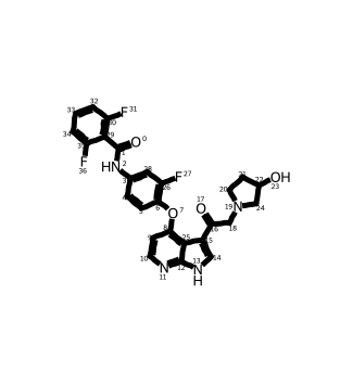 O=C(Nc1ccc(Oc2ccnc3[nH]cc(C(=O)CN4CCC(O)C4)c23)c(F)c1)c1c(F)cccc1F